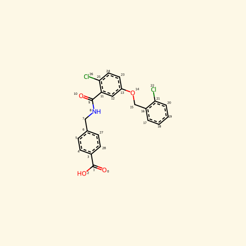 O=C(O)c1ccc(CNC(=O)c2cc(OCc3ccccc3Cl)ccc2Cl)cc1